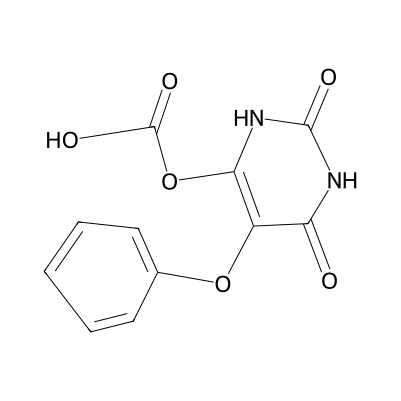 O=C(O)Oc1[nH]c(=O)[nH]c(=O)c1Oc1ccccc1